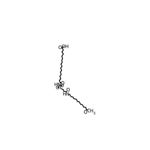 CC(=O)CCCCCCCCCCCNC(=O)CCCS(=O)(=O)NC(=O)CCCCCCCCCCCCCCCCC(=O)O